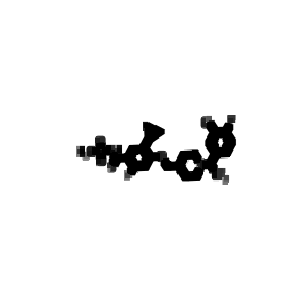 CS(=O)(=O)NC(=O)c1cc(C2CC2)c(OCC2CCN(C(c3ccc(F)c(Cl)c3)C(F)(F)F)CC2)cc1F